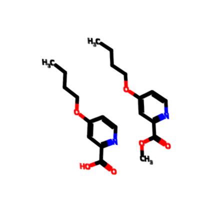 CCCCOc1ccnc(C(=O)O)c1.CCCCOc1ccnc(C(=O)OC)c1